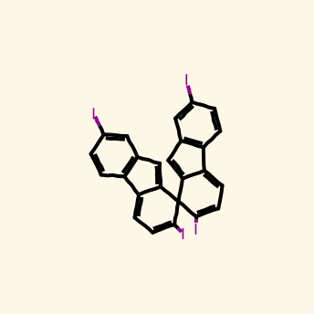 IC1=CC=C2C(=Cc3cc(I)ccc32)C12C(I)=CC=C1C2=Cc2cc(I)ccc21